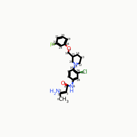 CC(N)=CC(=O)Nc1ccc(N2CCCC(COc3cccc(F)c3)C2)c(Cl)c1